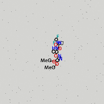 COCCOc1cc2ncnc(Oc3ccc(NC(=O)c4c5n(n(-c6cc(F)ccc6F)c4=O)CCCC5)c4ccccc34)c2cc1OCCOC